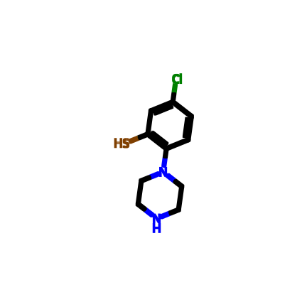 Sc1cc(Cl)ccc1N1CCNCC1